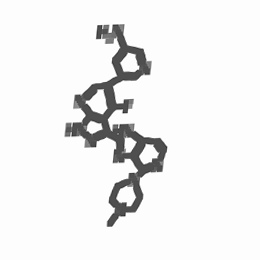 CN1CCN(c2nccc3[nH]c(-c4n[nH]c5ncc(-c6cncc(N)c6)c(F)c45)nc23)CC1